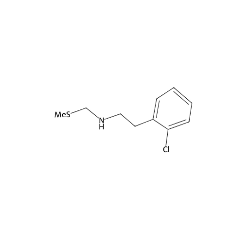 CSCNCCc1ccccc1Cl